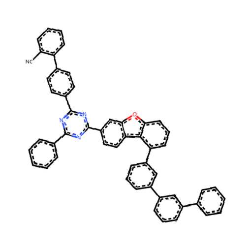 N#Cc1ccccc1-c1ccc(-c2nc(-c3ccccc3)nc(-c3ccc4c(c3)oc3cccc(-c5cccc(-c6cccc(-c7ccccc7)c6)c5)c34)n2)cc1